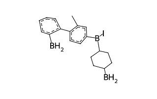 Bc1ccccc1-c1ccc(B(I)C2CCC(B)CC2)cc1C